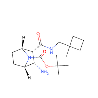 CC1(CNC(=O)[C@@H]2[C@H](N)[C@@H]3CC[C@H]2N3C(=O)OC(C)(C)C)CCC1